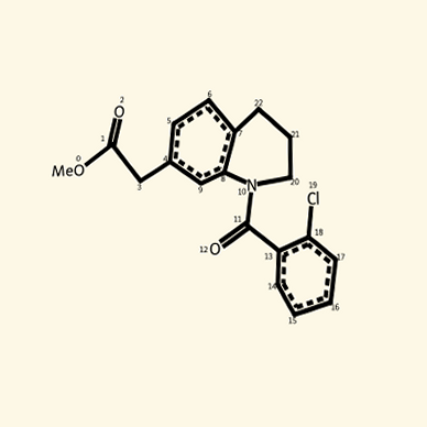 COC(=O)Cc1ccc2c(c1)N(C(=O)c1ccccc1Cl)CCC2